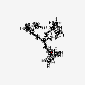 NC(=O)CCOCC(COCCC(=O)NCCO[C@H]1O[C@H](CO[C@H]2O[C@H](CO)[C@@H](O)[C@H](O)[C@@H]2O)[C@@H](O)[C@H](O[C@H]2O[C@H](CO)[C@@H](O)[C@H](O)[C@@H]2O)[C@@H]1O)(COCCC(=O)NCCO[C@H]1O[C@H](CO[C@H]2O[C@H](CO)[C@@H](O)[C@H](O)[C@@H]2O)[C@@H](O)[C@H](O[C@H]2O[C@H](CO)[C@@H](O)[C@H](O)[C@@H]2O)[C@@H]1O)COCCC(=O)NCCO[C@H]1O[C@H](CO[C@H]2O[C@H](CO)[C@@H](O)[C@H](O)[C@@H]2O)[C@@H](O)[C@H](O[C@H]2O[C@H](CO)[C@@H](O)[C@H](O)[C@@H]2O)[C@@H]1O